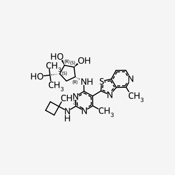 Cc1nc(NC2(C)CCC2)nc(N[C@@H]2C[C@H](C(C)(C)O)[C@@H](O)[C@H]2O)c1-c1nc2c(C)nccc2s1